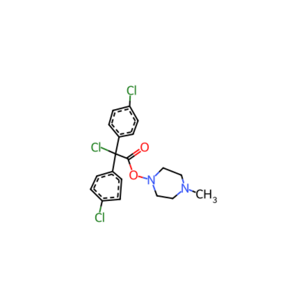 CN1CCN(OC(=O)C(Cl)(c2ccc(Cl)cc2)c2ccc(Cl)cc2)CC1